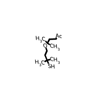 CC(=O)CCC(C)(C)OCCC(C)(C)S